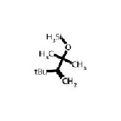 C=C(C(C)(C)C)C(C)(C)O[SiH3]